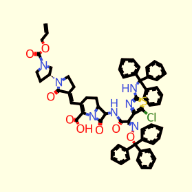 C=CCOC(=O)N1CC[C@@H](N2CC/C(=C\C3=C(C(=O)O)N4C(=O)C(NC(=O)/C(=N\OC(c5ccccc5)(c5ccccc5)c5ccccc5)c5nc(NC(c6ccccc6)(c6ccccc6)c6ccccc6)sc5Cl)C4CC3)C2=O)C1